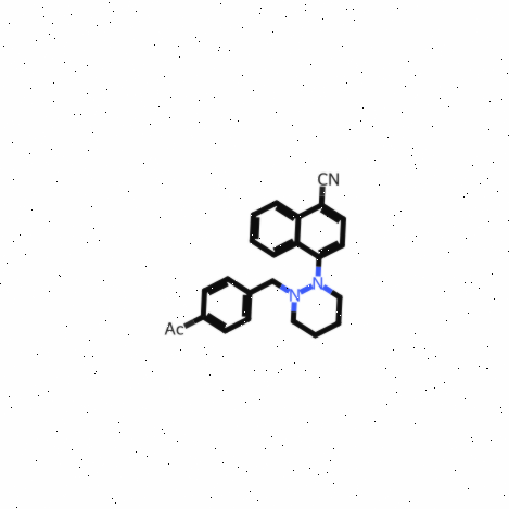 CC(=O)c1ccc(CN2CCCCN2c2ccc(C#N)c3ccccc23)cc1